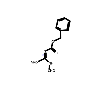 CS/C(=N/C(=O)OCc1ccccc1)NC=O